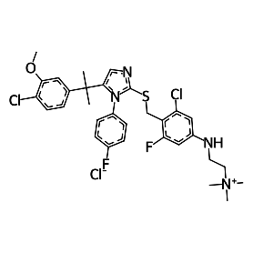 COc1cc(C(C)(C)c2cnc(SCc3c(F)cc(NCC[N+](C)(C)C)cc3Cl)n2-c2ccc(F)cc2)ccc1Cl.[Cl-]